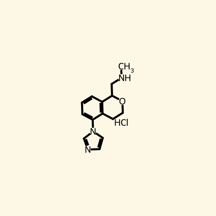 CNCC1OCCc2c1cccc2-n1ccnc1.Cl